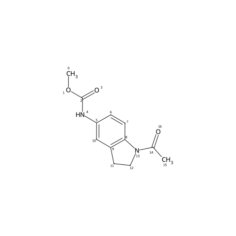 COC(=O)Nc1ccc2c(c1)CCN2C(C)=O